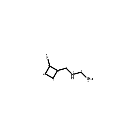 CC(C)(C)CNCC1CCC1F